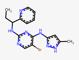 CCC(Nc1ncc(Br)c(Nc2cc(C)[nH]n2)n1)c1ccccn1